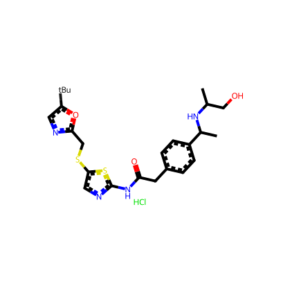 CC(CO)NC(C)c1ccc(CC(=O)Nc2ncc(SCc3ncc(C(C)(C)C)o3)s2)cc1.Cl